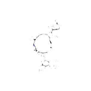 CO[C@@H]1[C@H](O)[C@@H](C)O[C@@H](OC[C@H]2[C@@H]3O[C@@H]3/C=C/C(=O)[C@H](C)C[C@H](C)[C@H](O[C@@H]3OC(C)C[C@@]4(OC(=O)O[C@@H]4C)[C@H]3O)[C@@H](C)/C=C/C(=O)O[C@@H]2C)[C@@H]1OC